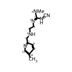 CN/C(=N/CCNCc1ccc(C)cn1)NC#N